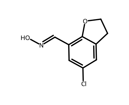 ON=Cc1cc(Cl)cc2c1OCC2